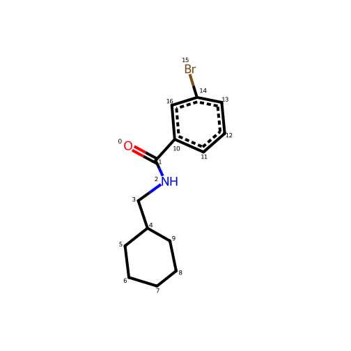 O=C(NCC1CCCCC1)c1cccc(Br)c1